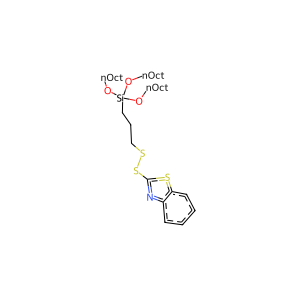 CCCCCCCCO[Si](CCCSSc1nc2ccccc2s1)(OCCCCCCCC)OCCCCCCCC